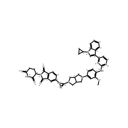 COc1cc(N2CC3CN(C4=NN4c4ccc5c(c4)C(=O)N(C4CCC(=O)NC4=O)C5=O)CC3C2)ccc1Nc1nccc(-c2cn(C3CC3)c3ccccc23)n1